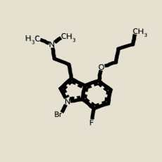 CCCCOc1ccc(F)c2c1c(CCN(C)C)cn2Br